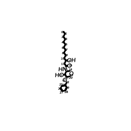 CCCCCCCCCCCC(O)CC(=O)N[C@H]1COC[C@@H](OCc2ccccc2)[C@@H]1O